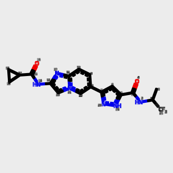 CC(NC(=O)c1cc(-c2ccc3nc(NC(=O)C4CC4)cn3c2)n[nH]1)C(F)(F)F